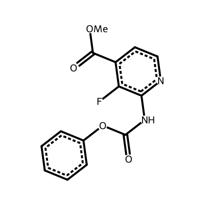 COC(=O)c1ccnc(NC(=O)Oc2ccccc2)c1F